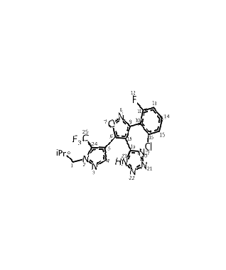 CC(C)Cn1ncc(-c2onc(-c3c(F)cccc3Cl)c2-c2nnn[nH]2)c1C(F)(F)F